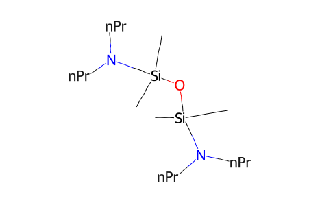 CCCN(CCC)[Si](C)(C)O[Si](C)(C)N(CCC)CCC